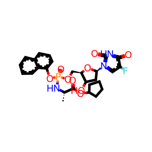 C[C@H](NP(=O)(OC[C@H]1O[C@@H](n2cc(F)c(=O)[nH]c2=O)CC1O)Oc1cccc2ccccc12)C(=O)OC1CCCC1